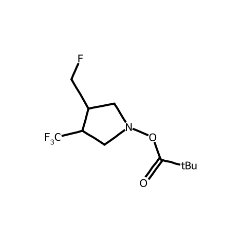 CC(C)(C)C(=O)ON1CC(CF)C(C(F)(F)F)C1